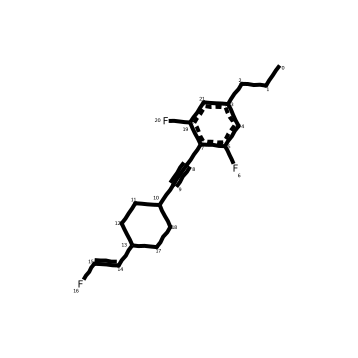 CCCc1cc(F)c(C#CC2CCC(/C=C/F)CC2)c(F)c1